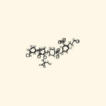 CCC1(COc2c(N3CCN(S(=O)(=O)Cc4ccc(CCC=O)c([N+](=O)[O-])c4)CC3)cnn(-c3cccc(Cl)c3)c2=O)CC1